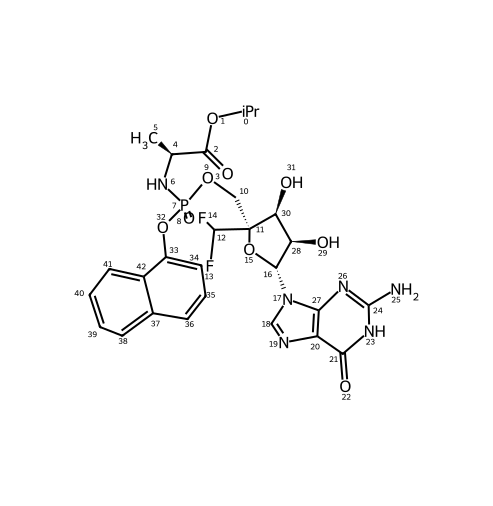 CC(C)OC(=O)[C@H](C)NP(=O)(OC[C@@]1(C(F)F)O[C@@H](n2cnc3c(=O)[nH]c(N)nc32)[C@H](O)[C@@H]1O)Oc1cccc2ccccc12